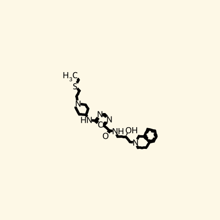 CCSCCN1CCC(Nc2cc(C(=O)NC[C@H](O)CN3CCc4ccccc4C3)ncn2)CC1